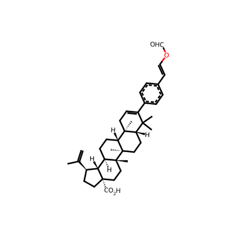 C=C(C)[C@@H]1CC[C@]2(C(=O)O)CC[C@]3(C)[C@H](CC[C@@H]4[C@@]5(C)CC=C(c6ccc(/C=C/OC=O)cc6)C(C)(C)[C@@H]5CC[C@]43C)[C@@H]12